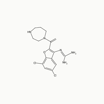 C=C(c1oc2c(Cl)cc(Cl)cc2c1N=C(N)N)N1CCCNCC1